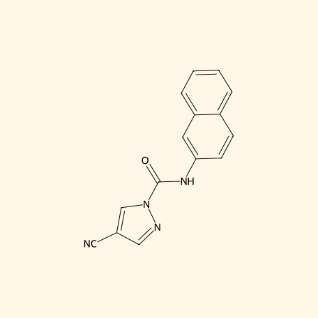 N#Cc1cnn(C(=O)Nc2ccc3ccccc3c2)c1